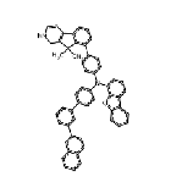 CC1(C)C2=C(C=CNC2)c2cccc(-c3ccc(N(c4ccc(-c5cccc(-c6ccc7ccccc7c6)c5)cc4)c4cccc5c4oc4ccccc45)cc3)c21